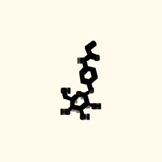 C=CC(=O)Nc1ccc(O[C@H]2O[C@H](CO)[C@@H](O)[C@H](O)[C@H]2O)cc1